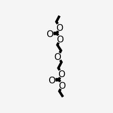 CCOC(=O)OCCOCCOC(=O)OCC